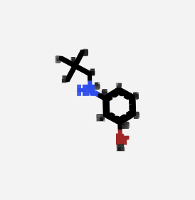 CC(C)(C)CNc1cccc(Br)c1